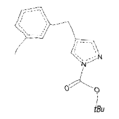 Cc1cccc(Cc2cnn(C(=O)OC(C)(C)C)c2)c1